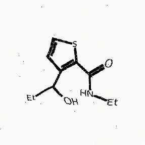 CCNC(=O)c1sccc1C(O)CC